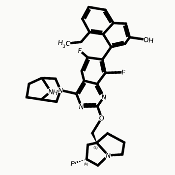 CCc1cccc2cc(O)cc(-c3c(F)cc4c(N5CC6CCC(C5)N6)nc(OC[C@@]56CCCN5C[C@H](F)C6)nc4c3F)c12